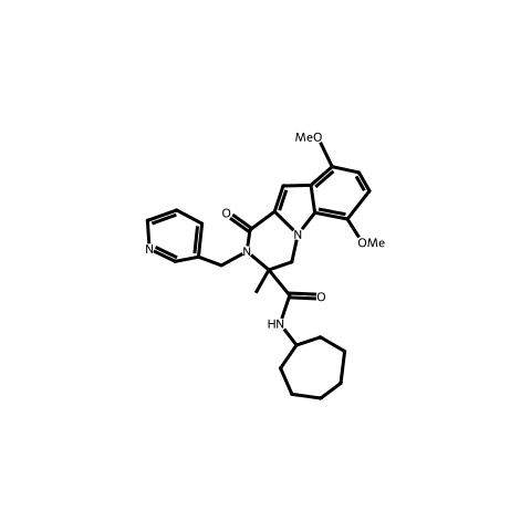 COc1ccc(OC)c2c1cc1n2CC(C)(C(=O)NC2CCCCCC2)N(Cc2cccnc2)C1=O